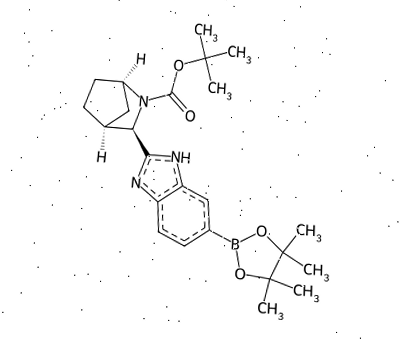 CC(C)(C)OC(=O)N1[C@@H]2CC[C@@H](C2)[C@@H]1c1nc2ccc(B3OC(C)(C)C(C)(C)O3)cc2[nH]1